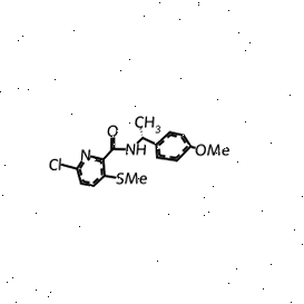 COc1ccc([C@@H](C)NC(=O)c2nc(Cl)ccc2SC)cc1